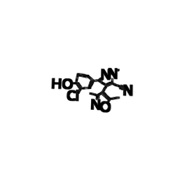 Cc1noc(C)c1-c1c(-c2ccc(O)c(Cl)c2)nn(C)c1C#N